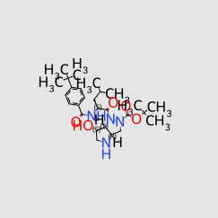 CC(C)C[C@H](NC(=O)c1ccc(C(C)(C)C)cc1)C(=O)N1[C@@H]2[C@@H](O)CN[C@@H]2CN1C(=O)OC(C)(C)C